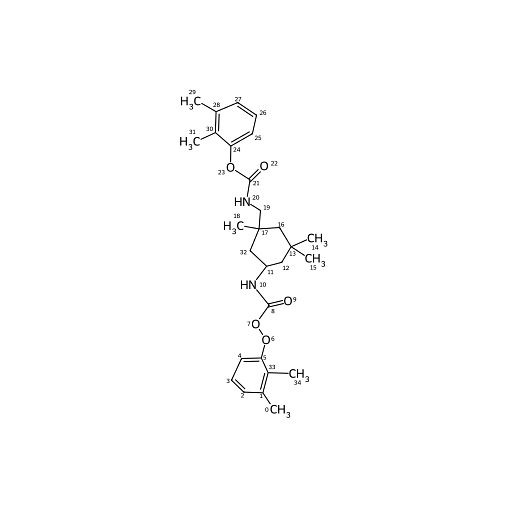 Cc1cccc(OOC(=O)NC2CC(C)(C)CC(C)(CNC(=O)Oc3cccc(C)c3C)C2)c1C